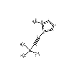 C[Si](C)(C)C#Cc1cccn1N